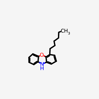 CCCCCCc1cccc2c1Oc1ccccc1N2